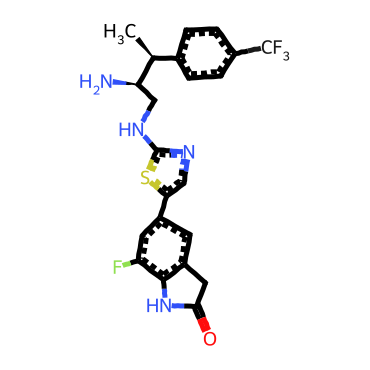 C[C@@H](c1ccc(C(F)(F)F)cc1)[C@H](N)CNc1ncc(-c2cc(F)c3c(c2)CC(=O)N3)s1